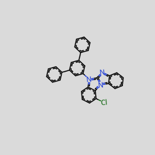 Clc1cccc2c1n1c3ccccc3nc1n2-c1cc(-c2ccccc2)cc(-c2ccccc2)c1